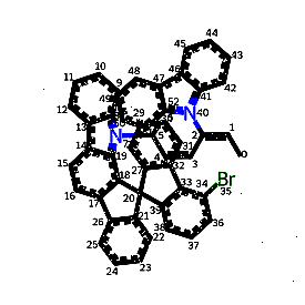 C/C=C(\C=C/C(C)n1c2ccccc2c2ccc3c(c21)C1(c2ccccc2-3)c2ccccc2-c2c(Br)cccc21)n1c2ccccc2c2ccccc21